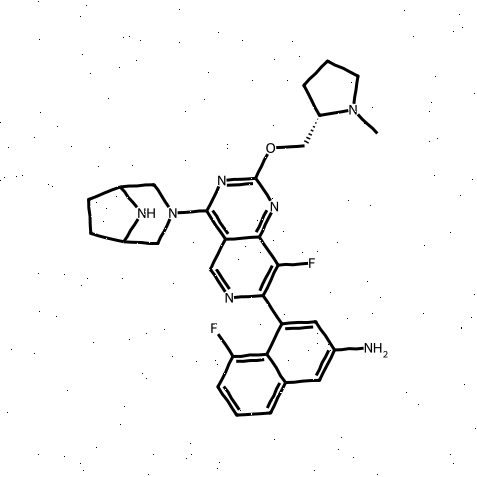 CN1CCC[C@H]1COc1nc(N2CC3CCC(C2)N3)c2cnc(-c3cc(N)cc4cccc(F)c34)c(F)c2n1